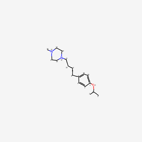 CC(C)Oc1ccc(CCCCN2CCN(C)CC2)cc1